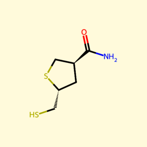 NC(=O)[C@@H]1CS[C@@H](CS)C1